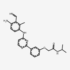 Cc1c(Nc2ccnc(-c3cccc(OCC(=O)NC(C)C)c3)n2)ccc(N)c1C=N